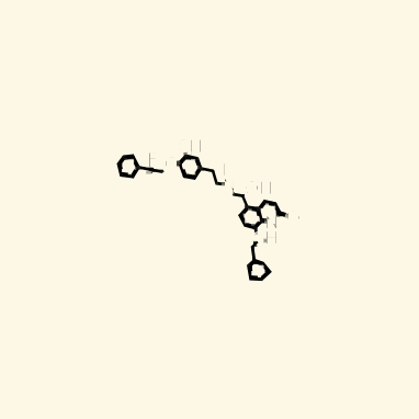 Cc1cc(CCNC[C@H](O)c2ccc(OCc3ccccc3)c3[nH]c(=O)ccc23)ccc1OCC(F)(F)c1ccccc1